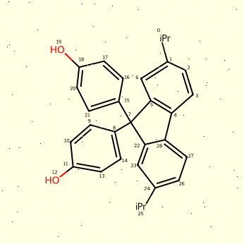 CC(C)c1ccc2c(c1)C(c1ccc(O)cc1)(c1ccc(O)cc1)c1cc(C(C)C)ccc1-2